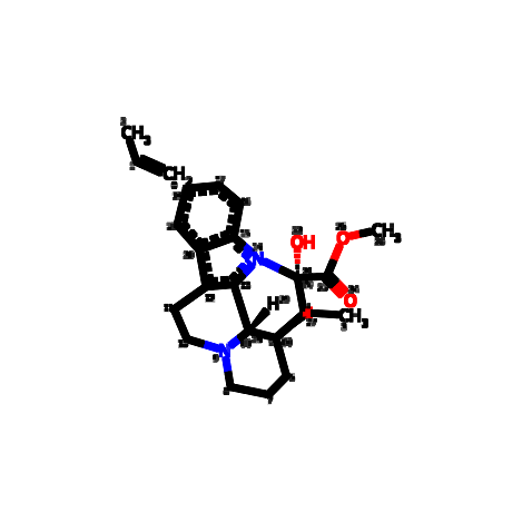 C=CC.CC[C@]12CCCN3CCc4c(n(c5ccccc45)[C@@](O)(C(=O)OC)C1)[C@@H]32